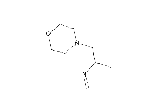 C=NC(C)CN1CCOCC1